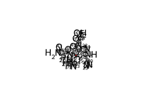 O=C(O)C(F)(F)F.[2H]C([2H])([2H])n1ncc2cc(-c3c(-c4cnn(C)c4)[nH]c4ncc5c(c34)[C@@]3(CC[C@H](NC(=O)C4(CC(N)=O)CCC4)C3)C(=O)N5C)ccc21